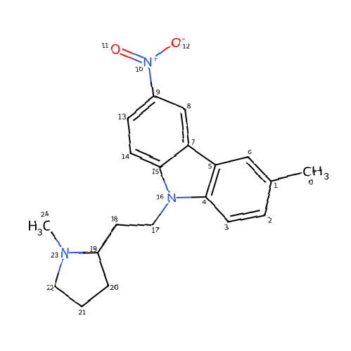 Cc1ccc2c(c1)c1cc([N+](=O)[O-])ccc1n2CCC1CCCN1C